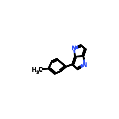 Cc1ccc(C2=C3N=CC=C3N=C2)cc1